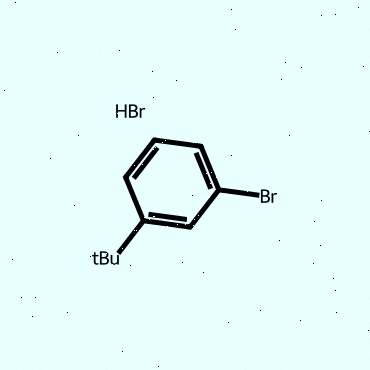 Br.CC(C)(C)c1cccc(Br)c1